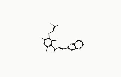 COc1cc(O)c(CC=C(C)C)c(O)c1C(=O)/C=C/c1cc2ccccc2o1